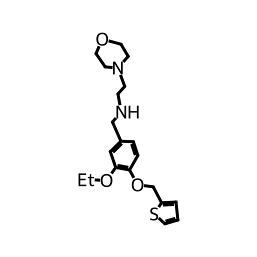 CCOc1cc(CNCCN2CCOCC2)ccc1OCc1cccs1